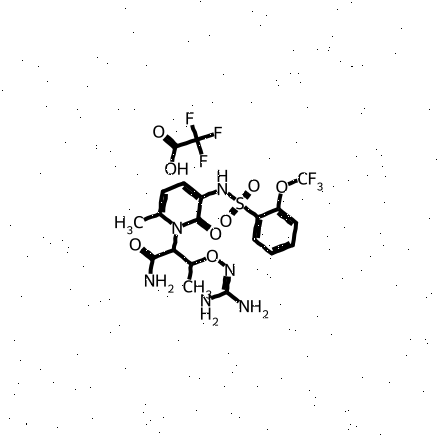 Cc1ccc(NS(=O)(=O)c2ccccc2OC(F)(F)F)c(=O)n1C(C(N)=O)C(C)ON=C(N)N.O=C(O)C(F)(F)F